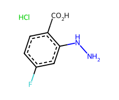 Cl.NNc1cc(F)ccc1C(=O)O